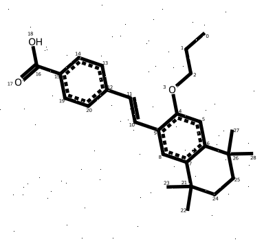 CCCOc1cc2c(cc1C=Cc1ccc(C(=O)O)cc1)C(C)(C)CCC2(C)C